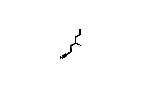 CCCC(F)CCC#N